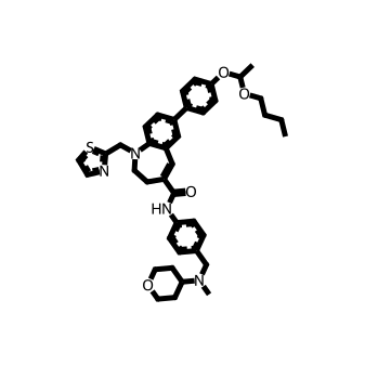 CCCCOC(C)Oc1ccc(-c2ccc3c(c2)C=C(C(=O)Nc2ccc(CN(C)C4CCOCC4)cc2)CCN3Cc2nccs2)cc1